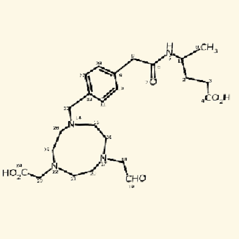 CC(CCC(=O)O)NC(=O)Cc1ccc(CN2CCN(CC=O)CCN(CC(=O)O)CC2)cc1